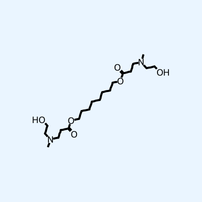 CN(CCO)CCC(=O)OCCCCCCCCOC(=O)CCN(C)CCO